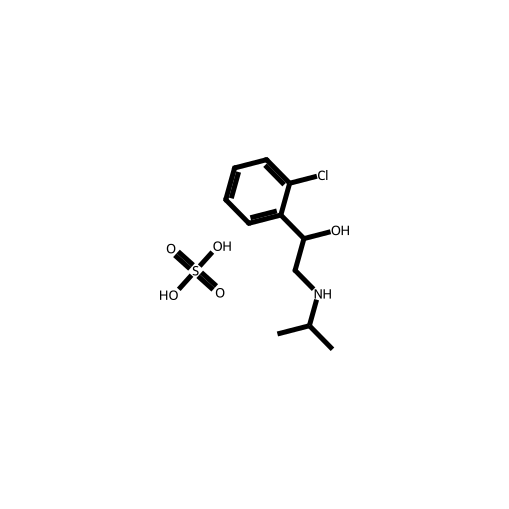 CC(C)NCC(O)c1ccccc1Cl.O=S(=O)(O)O